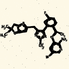 C[C@@H](Oc1cc(Br)cnc1[N+](=O)[O-])c1ccc(F)cc1-c1nn(C)nc1Cc1cc2n(n1)CC(C)(C)O2